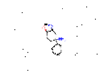 NC1(c2ccccc2)CCc2ocnc2C1